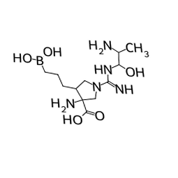 CC(N)C(O)NC(=N)N1CC(CCCB(O)O)C(N)(C(=O)O)C1